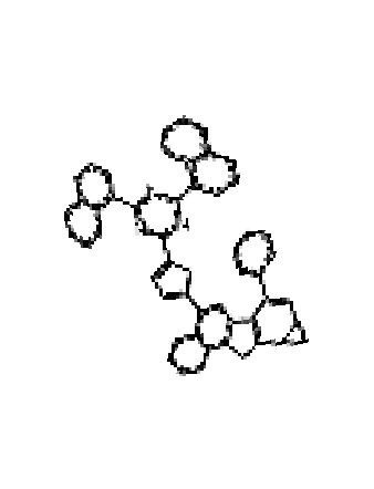 C1=C(c2ccccc2)C2=C(Cc3c2cc(C2=CC=C(c4nc(-c5cccc6ccccc56)nc(-c5cccc6ccccc56)n4)C2)c2ccccc32)C2CC12